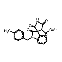 COC(=O)C1C(=O)NC(=O)C12C(=O)N(Cc1ccc(C)cc1)c1ccccc12